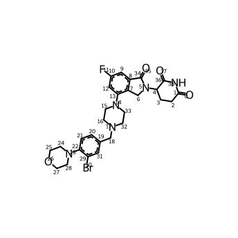 O=C1CCC(N2Cc3c(cc(F)cc3N3CCN(Cc4ccc(N5CCOCC5)c(Br)c4)CC3)C2=O)C(=O)N1